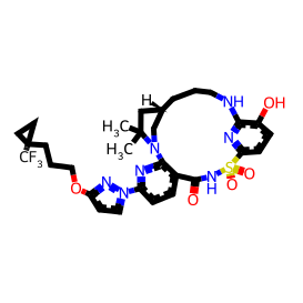 CC1(C)C[C@@H]2CCCNc3nc(ccc3O)S(=O)(=O)NC(=O)c3ccc(-n4ccc(OCCCC5(C(F)(F)F)CC5)n4)nc3N1C2